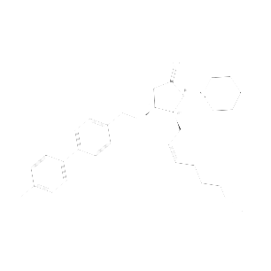 Cc1ccc(-c2ccc(CO[C@H]3CC(=O)[C@H](N4CCCCC4)[C@H]3C/C=C\CCCC(=O)O)cc2)cc1